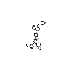 COc1ccc(CN2C(=O)CCC(N3Cc4cc(C5CCN(Cc6ccccc6)c6ccccc65)ccc4C3=O)C2=O)cc1